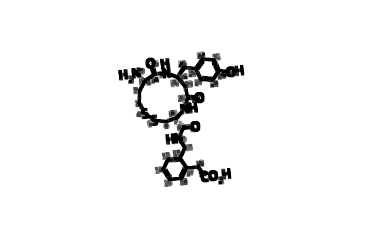 N[C@H]1CCSSC[C@@H](C(=O)NCc2ccccc2CC(=O)O)NC(=O)C[C@H](Cc2ccc(O)cc2)NC1=O